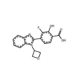 O=C(O)c1ccc(-c2nc3ccccc3n2C2COC2)c(F)c1O